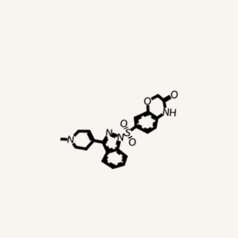 CN1CC=C(c2nn(S(=O)(=O)c3ccc4c(c3)OCC(=O)N4)c3ccccc23)CC1